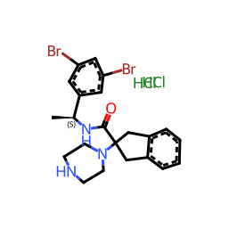 C[C@H](NC(=O)C1(N2CCNCC2)Cc2ccccc2C1)c1cc(Br)cc(Br)c1.Cl.Cl